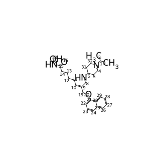 CC(C)N1CCC(NCC(=CCCCCC(=O)NO)COc2cccc3ccccc23)CC1